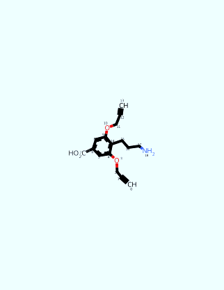 C#CCOc1cc(C(=O)O)cc(OCC#C)c1CCCN